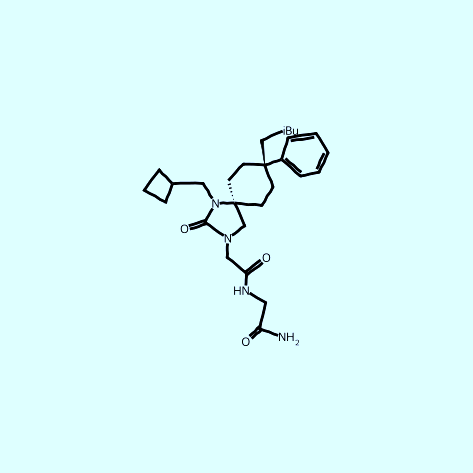 CCC(C)C[C@]1(c2ccccc2)CC[C@]2(CC1)CN(CC(=O)NCC(N)=O)C(=O)N2CC1CCC1